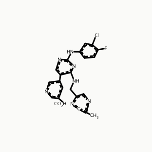 Cc1cnc(CNc2nc(Nc3ccc(F)c(Cl)c3)ncc2-c2cncc(C(=O)O)c2)cn1